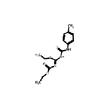 CCOC(=O)/N=C(/NC(=O)Nc1ccc(C)cc1)SCC